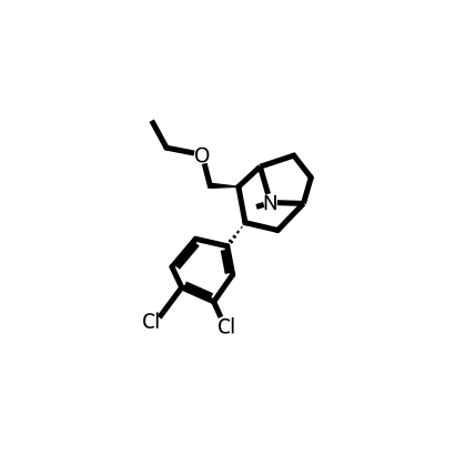 CCOC[C@H]1C2CCC(C[C@@H]1c1ccc(Cl)c(Cl)c1)N2C